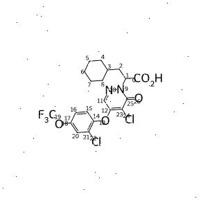 O=C(O)C(CC1CCCCC1)n1ncc(Oc2ccc(OC(F)(F)F)cc2Cl)c(Cl)c1=O